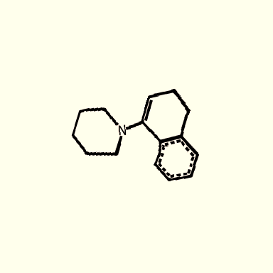 C1=C(N2CCCCC2)c2ccccc2CC1